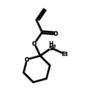 C=CC(=O)OC1([SiH2]CC)CCCCO1